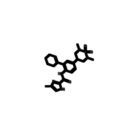 Cc1c[nH]c(C(=O)Nc2ccc(C3CN(C)S(=O)(=O)N(C)C3)cc2C2=CCCCC2)n1